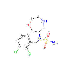 CN([C@@H]1CNCCO[C@H]1c1ccc(Cl)c(Cl)c1)S(N)(=O)=O